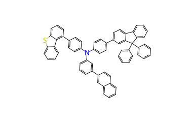 c1ccc(C2(c3ccccc3)c3ccccc3-c3ccc(-c4ccc(N(c5ccc(-c6cccc7sc8ccccc8c67)cc5)c5cccc(-c6ccc7ccccc7c6)c5)cc4)cc32)cc1